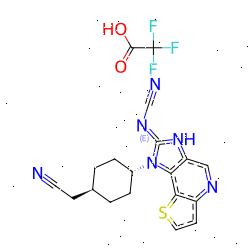 N#CC[C@H]1CC[C@H](n2/c(=N/C#N)[nH]c3cnc4ccsc4c32)CC1.O=C(O)C(F)(F)F